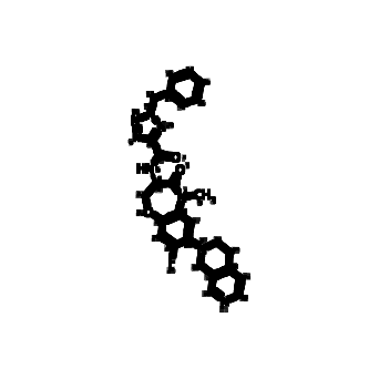 CN1C(=O)[C@@H](NC(=O)c2nnn(Cc3ccccc3)n2)COc2cc(F)c(N3CCc4ccncc4C3)cc21